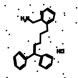 Cl.NCc1ncccc1CCCC=C(c1ccccc1)c1ccccc1